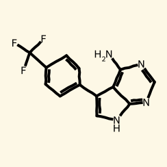 Nc1ncnc2[nH]cc(-c3ccc(C(F)(F)F)cc3)c12